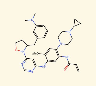 C=CC(=O)Nc1cc(Nc2cc(N3OCCC3Cc3cccc(N(C)C)c3)ncn2)c(OC)cc1N1CCN(C2CC2)CC1